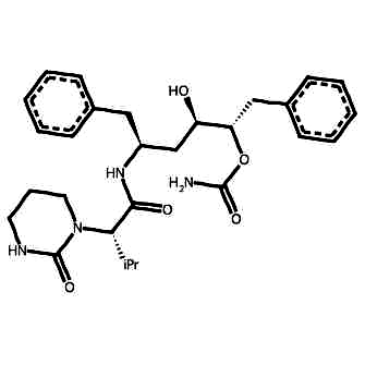 CC(C)[C@@H](C(=O)N[C@@H](Cc1ccccc1)C[C@@H](O)[C@H](Cc1ccccc1)OC(N)=O)N1CCCNC1=O